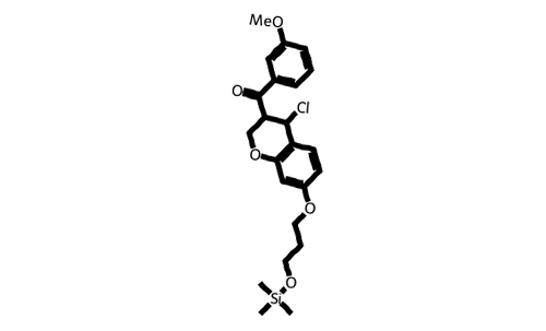 COc1cccc(C(=O)C2COc3cc(OCCCO[Si](C)(C)C)ccc3C2Cl)c1